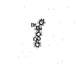 O=C(Oc1ccc(-n2cc(Br)c(-c3ccncc3)n2)cc1)N1CCCCC1